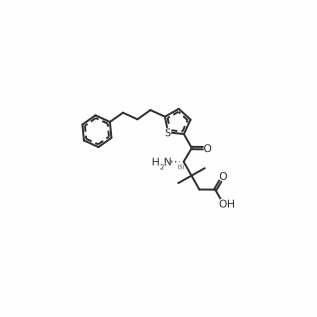 CC(C)(CC(=O)O)[C@H](N)C(=O)c1ccc(CCCc2ccccc2)s1